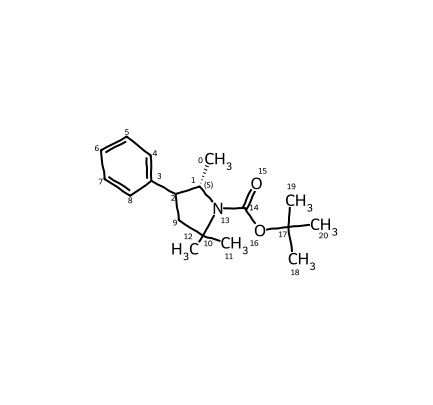 C[C@H]1C(c2ccccc2)CC(C)(C)N1C(=O)OC(C)(C)C